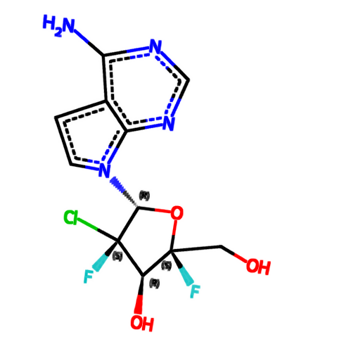 Nc1ncnc2c1ccn2[C@@H]1O[C@](F)(CO)[C@@H](O)[C@]1(F)Cl